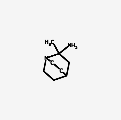 CC1(N)CC2CCN1CC2